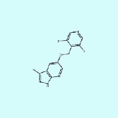 Cc1n[nH]c2ncc(OCc3c(F)cncc3F)cc12